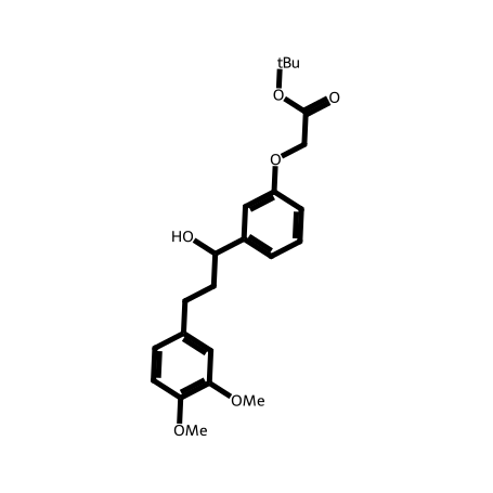 COc1ccc(CCC(O)c2cccc(OCC(=O)OC(C)(C)C)c2)cc1OC